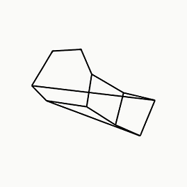 C1CC2C3C4C1C1C2C3C41